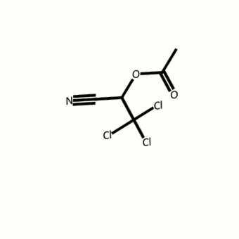 CC(=O)OC(C#N)C(Cl)(Cl)Cl